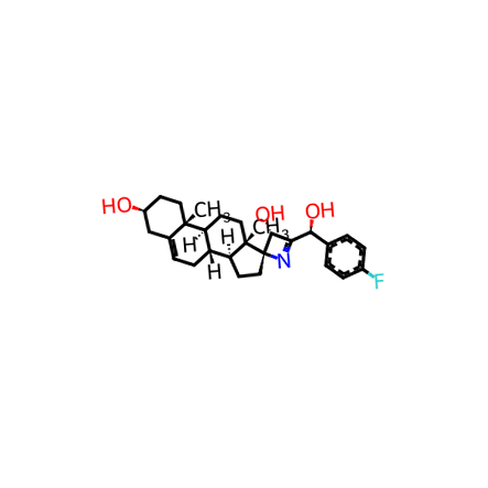 C[C@]12CC[C@H](O)CC1=CC[C@@H]1[C@@H]2CC[C@@]2(C)[C@H]1CC[C@@]21N=C([C@@H](O)c2ccc(F)cc2)[C@H]1O